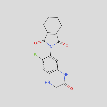 O=C1CNc2cc(F)c(N3C(=O)C4=C(CCCC4)C3=O)cc2N1